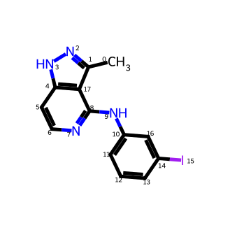 Cc1n[nH]c2ccnc(Nc3cccc(I)c3)c12